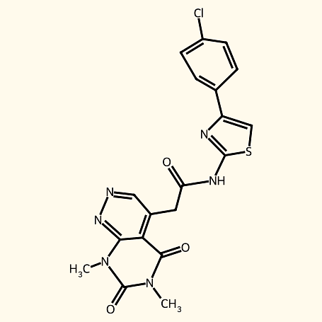 Cn1c(=O)c2c(CC(=O)Nc3nc(-c4ccc(Cl)cc4)cs3)cnnc2n(C)c1=O